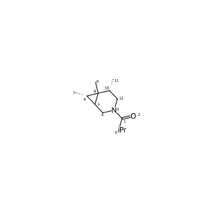 CC(C)C(=O)N1CC2[C@H](C)C2(C)[C@H](C)C1